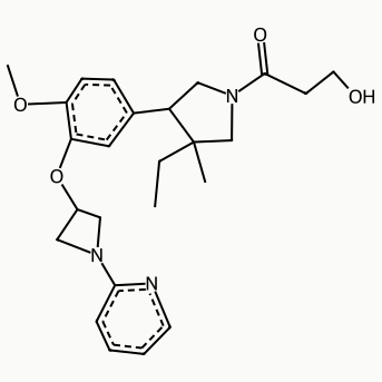 CCC1(C)CN(C(=O)CCO)CC1c1ccc(OC)c(OC2CN(c3ccccn3)C2)c1